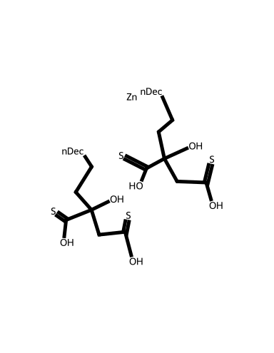 CCCCCCCCCCCCC(O)(CC(O)=S)C(O)=S.CCCCCCCCCCCCC(O)(CC(O)=S)C(O)=S.[Zn]